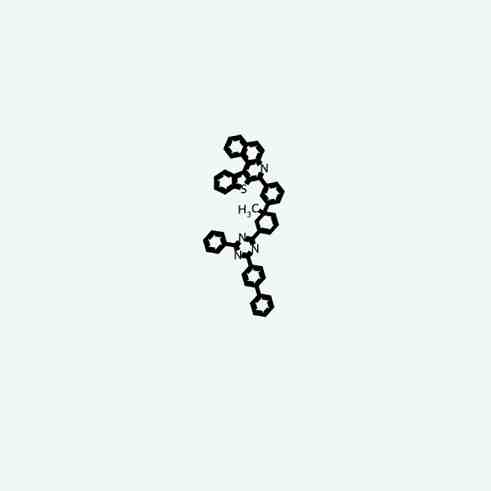 CC1(c2cccc(-c3nc4ccc5ccccc5c4c4c3sc3ccccc34)c2)C=CC=C(c2nc(-c3ccccc3)nc(-c3ccc(-c4ccccc4)cc3)n2)C1